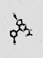 CC(=O)Nc1nc2c(c(-c3cccc(C#N)c3)n1)CN(C#N)C2